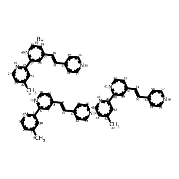 Cc1ccnc(-c2cc(C=Cc3ccncc3)ccn2)c1.Cc1ccnc(-c2cc(C=Cc3ccncc3)ccn2)c1.Cc1ccnc(-c2cc(C=Cc3ccncc3)ccn2)c1.[Ru]